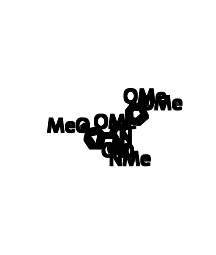 CNS(=O)(=O)N1N=C(c2ccc(OC)c(OC)c2)CC1c1cccc(OC)c1OC